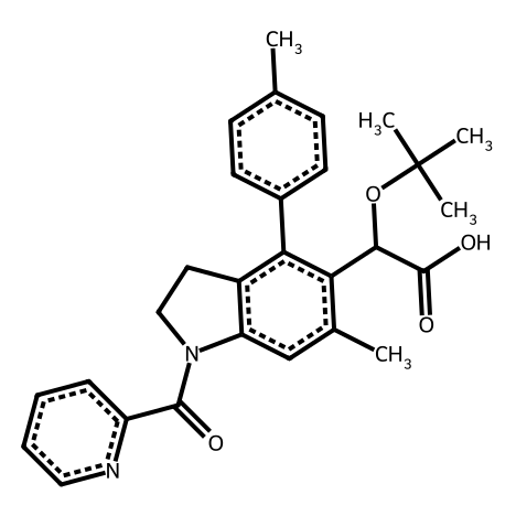 Cc1ccc(-c2c3c(cc(C)c2C(OC(C)(C)C)C(=O)O)N(C(=O)c2ccccn2)CC3)cc1